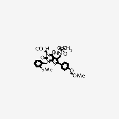 COCOc1ccc(-c2sc3c(c2CNS(C)(=O)=O)c(=O)n(CC(=O)O)c(=O)n3Cc2ccccc2SC)cc1